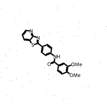 COc1ccc(C(=O)Nc2ccc(-c3nc4ncccc4s3)cc2)cc1OC